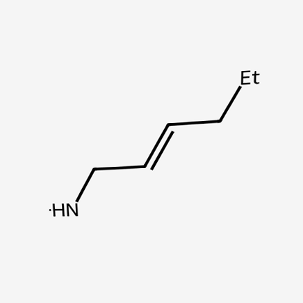 CCCC=CC[NH]